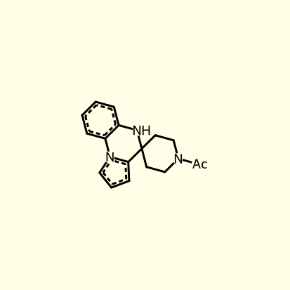 CC(=O)N1CCC2(CC1)Nc1ccccc1-n1cccc12